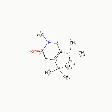 CN1CC(C(C)(C)C)=C(C(C)(C)C)CC1=O